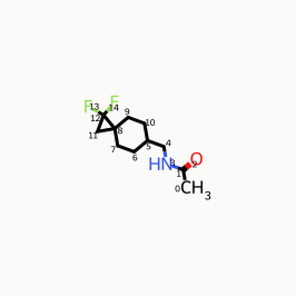 CC(=O)NCC1CCC2(CC1)CC2(F)F